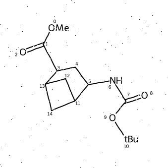 COC(=O)C1CC(NC(=O)OC(C)(C)C)C2CC1C2